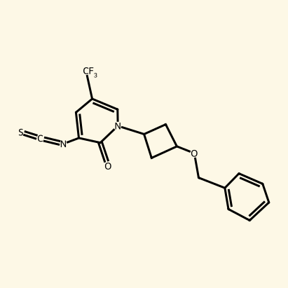 O=c1c(N=C=S)cc(C(F)(F)F)cn1C1CC(OCc2ccccc2)C1